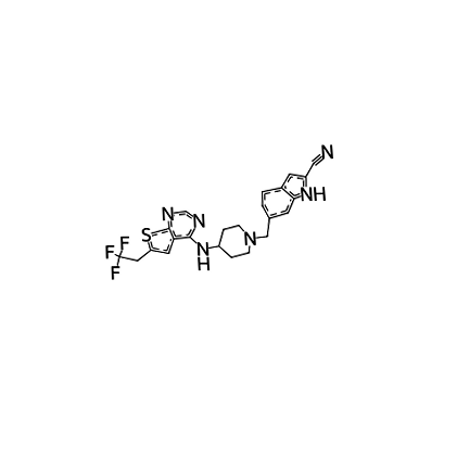 N#Cc1cc2ccc(CN3CCC(Nc4ncnc5sc(CC(F)(F)F)cc45)CC3)cc2[nH]1